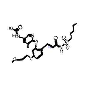 CCCCCS(=O)(=O)NC(=O)/C=C/c1ccc(OCCOC)cc1Oc1ncc(NC(=O)O)cc1C